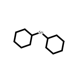 C1CC[CH]([Sn][CH]2CCCCC2)CC1